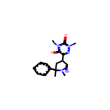 CN(C)C(C)(CC(C=N)c1nn(C)c(=O)n(C)c1=O)c1ccccc1